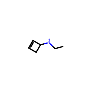 CCNC1[CH]C=C1